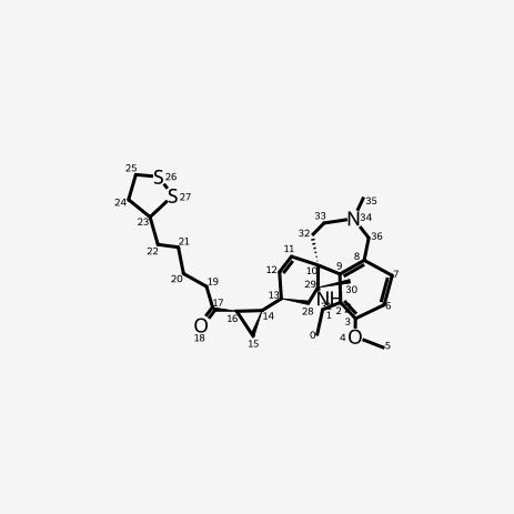 CCc1c(OC)ccc2c1[C@@]1(C=C[C@H]([C@H]3C[C@H]3C(=O)CCCCC3CCSS3)C[C@@]1(C)N)CCN(C)C2